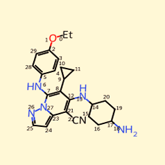 CCOc1ccc(Nc2c(C3CC3)c(NC3CCC(N)CC3)c(C#N)c3ccnn23)cc1